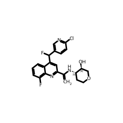 C=C(N[C@H]1CCOC[C@@H]1O)c1cc(C(F)c2ccc(Cl)nc2)c2cccc(F)c2n1